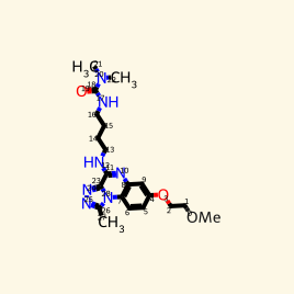 COCCOc1ccc2c(c1)nc(NCCCCNC(=O)N(C)C)c1nnc(C)n12